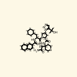 CC(C)(O)c1cnnn1[C@H]1C[C@@H](C(=O)NC2(C(O)C(N)=O)CCSCC2)N(C(=O)C(CC2CCCCC2)NC(=O)c2ccc3ccccc3c2)C1